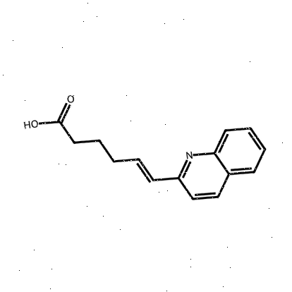 O=C(O)CCCC=Cc1ccc2ccccc2n1